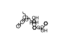 CCCCC[C@@H](CC[C@@H]1[C@H]2Cc3cccc(OCC(O)OCc4ccccc4)c3C[C@H]2C[C@H]1O)OC(=O)N1CCC(N2CCCCC2)CC1